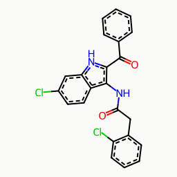 O=C(Cc1ccccc1Cl)Nc1c(C(=O)c2ccccc2)[nH]c2cc(Cl)ccc12